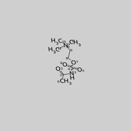 CC(=O)NS(=O)(=O)OCC[N+](C)(C)C